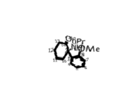 CCCN[C@]1(c2ccccc2OC)CCCCC1=O